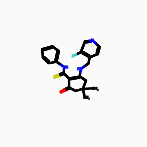 CC1(C)CC(=O)C(C(=S)Nc2ccccc2)=C(NCc2ccncc2F)C1